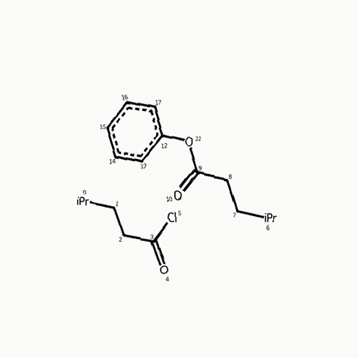 CC(C)CCC(=O)Cl.CC(C)CCC(=O)Oc1ccccc1